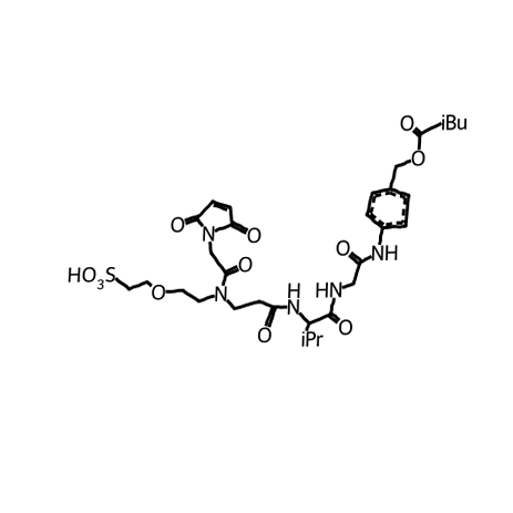 CCC(C)C(=O)OCc1ccc(NC(=O)CNC(=O)C(NC(=O)CCN(CCOCCS(=O)(=O)O)C(=O)CN2C(=O)C=CC2=O)C(C)C)cc1